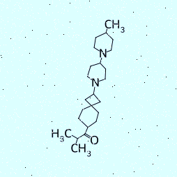 CC1CCN(C2CCN(C3CC4(CCC(C(=O)C(C)C)CC4)C3)CC2)CC1